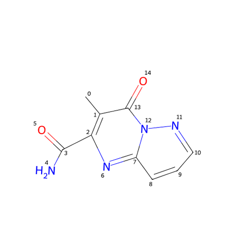 Cc1c(C(N)=O)nc2cccnn2c1=O